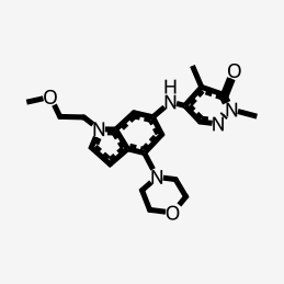 COCCn1ccc2c(N3CCOCC3)cc(Nc3cnn(C)c(=O)c3C)cc21